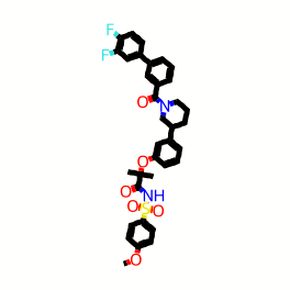 COc1ccc(S(=O)(=O)NC(=O)C(C)(C)Oc2cccc(C3CCCN(C(=O)c4cccc(-c5ccc(F)c(F)c5)c4)C3)c2)cc1